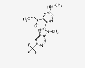 CC[S+]([O-])c1cc(NC)cnc1-c1nc2cc(C(F)(F)F)ncc2n1C